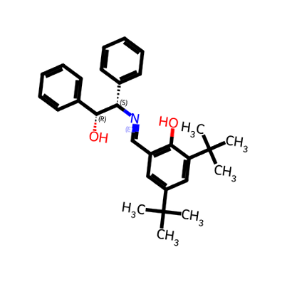 CC(C)(C)c1cc(/C=N/[C@@H](c2ccccc2)[C@H](O)c2ccccc2)c(O)c(C(C)(C)C)c1